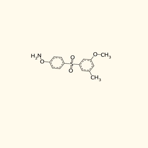 COc1cc(C)cc(S(=O)(=O)c2ccc(ON)cc2)c1